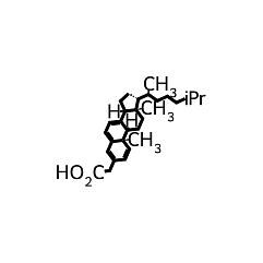 CC(C)CCC[C@@H](C)[C@H]1CC[C@H]2C3=CC=C4C=C(CC(=O)O)C=C[C@]4(C)[C@H]3CC[C@]12C